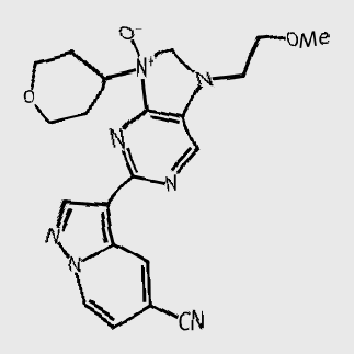 COCCN1C[N+]([O-])(C2CCOCC2)c2nc(-c3cnn4ccc(C#N)cc34)ncc21